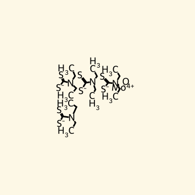 CCN(CC)C(=S)[S-].CCN(CC)C(=S)[S-].CCN(CC)C(=S)[S-].CCN(CC)C(=S)[S-].[O]=[Mo+4]